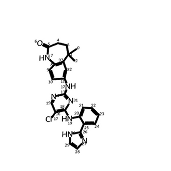 CC1(C)CCC(=O)Nc2ccc(Nc3ncc(Cl)c(Nc4ccccc4-c4ncc[nH]4)n3)cc21